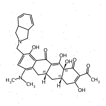 CC(=O)C1=C(O)C[C@@H]2C[C@@H]3Cc4c(N(C)C)cc(CN5CC6C=CC=CC6C5)c(O)c4C(=O)C3=C(O)[C@]2(O)C1=O